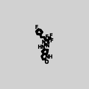 O=C1CCc2cc(Nc3ncc(C(F)(F)F)c(CCc4ccc(F)cc4)n3)ccc2N1